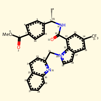 COC(=O)c1ccc([C@H](C)NC(=O)c2cc(C(F)(F)F)cc3ccn(Cc4ccc5ccccc5n4)c23)cc1